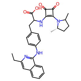 CCc1cc2ccccc2c(Nc2ccc(CC(Nc3c(N4C(C)CC[C@@H]4C)c(=O)c3=O)C(=O)O)cc2)n1